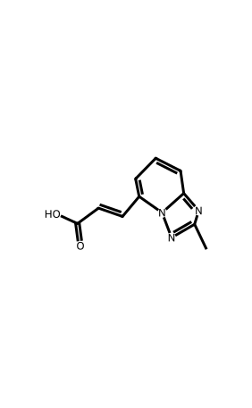 Cc1nc2cccc(C=CC(=O)O)n2n1